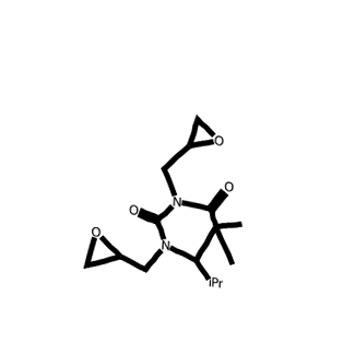 CC(C)C1N(CC2CO2)C(=O)N(CC2CO2)C(=O)C1(C)C